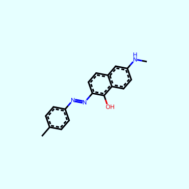 CNc1ccc2c(O)c(N=Nc3ccc(C)cc3)ccc2c1